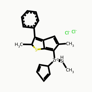 C[SiH]=[Zr+2]([C]1=C2SC(C)C(c3ccccc3)=C2C=C1C)[CH]1C=CC=C1.[Cl-].[Cl-]